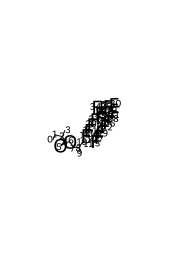 CCC(C)C(=O)OCC(C)CCC(F)(F)C(F)(F)C(F)(F)C(F)(F)C(F)(F)C(F)(C(F)(F)F)C(F)(F)F